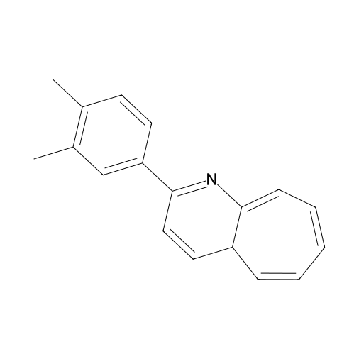 Cc1ccc(C2=NC3=CC=CC=CC3C=C2)cc1C